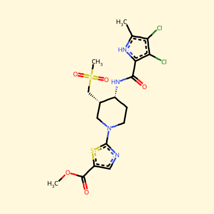 COC(=O)c1cnc(N2CC[C@@H](NC(=O)c3[nH]c(C)c(Cl)c3Cl)[C@@H](CS(C)(=O)=O)C2)s1